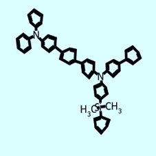 C[Si](C)(c1ccccc1)c1ccc(N(c2ccc(-c3ccccc3)cc2)c2ccc(-c3ccc(-c4ccc(N(c5ccccc5)c5ccccc5)cc4)cc3)cc2)cc1